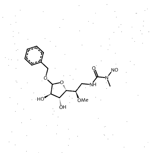 CO[C@H](CNC(=O)N(C)N=O)[C@H]1OC(OCc2ccccc2)[C@H](O)[C@H]1O